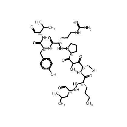 CSCC[C@H](NN[C@H](C=O)CC(C)C)C(=O)N[C@@H](CS)C(=O)C(C)C(=O)[C@@H]1CCCN1N[C@@H](CCCNC(=N)N)C(=O)N[C@@H](Cc1ccc(O)cc1)C(=O)N[C@H](C=O)C(C)C